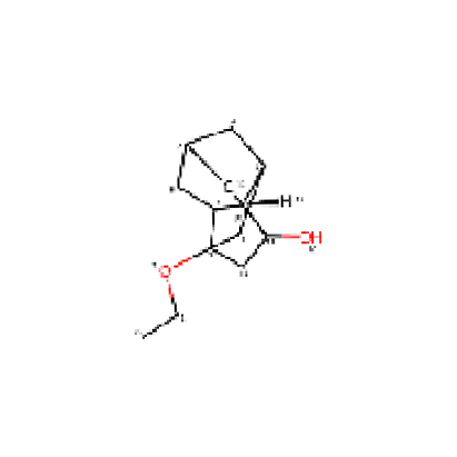 CCOC12CC3CC4CC1[C@H]3C(O)(C4)C2